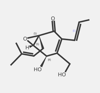 C/C=C/C1=C(CO)[C@@H](O)[C@@H]2O[C@]2(CC=C(C)C)C1=O